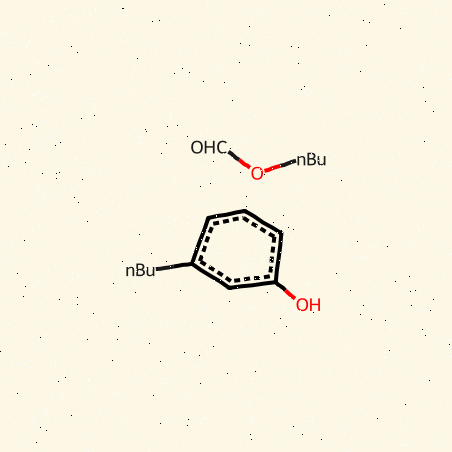 CCCCOC=O.CCCCc1cccc(O)c1